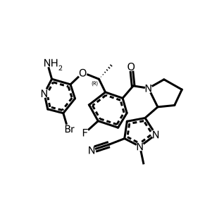 C[C@@H](Oc1cc(Br)cnc1N)c1cc(F)ccc1C(=O)N1CCCC1c1cc(C#N)n(C)n1